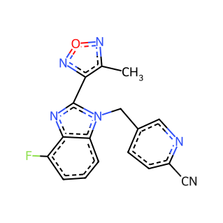 Cc1nonc1-c1nc2c(F)cccc2n1Cc1ccc(C#N)nc1